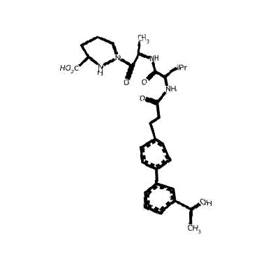 CC(NC(=O)C(NC(=O)CCc1ccc(-c2cccc(C(C)O)c2)cc1)C(C)C)C(=O)N1CCCC(C(=O)O)N1